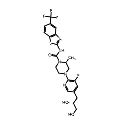 C[C@H]1CN(c2ncc(C[C@@H](O)CO)cc2F)CCN1C(=O)Nc1nc2cc(C(F)(F)F)ccc2s1